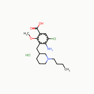 CCCCN1CCCC(Cc2c(N)c(Cl)cc(C(=O)O)c2OC)C1.Cl